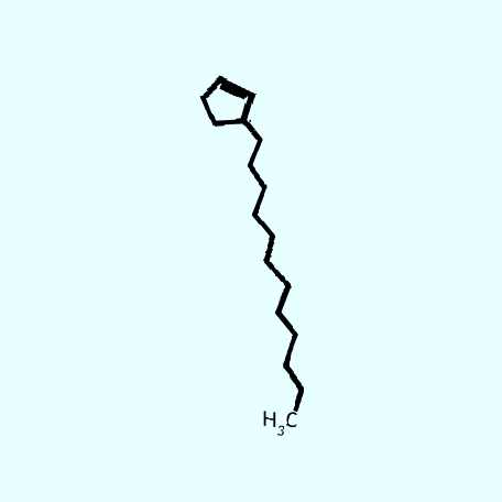 CCCCCCCCCCCC[C]1C=CCC1